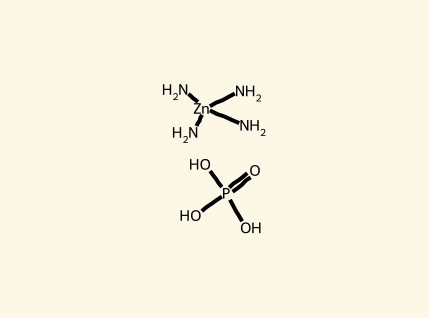 O=P(O)(O)O.[NH2][Zn]([NH2])([NH2])[NH2]